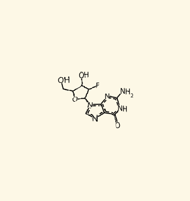 Nc1nc2c(ncn2C2OC(CO)C(O)C2F)c(=O)[nH]1